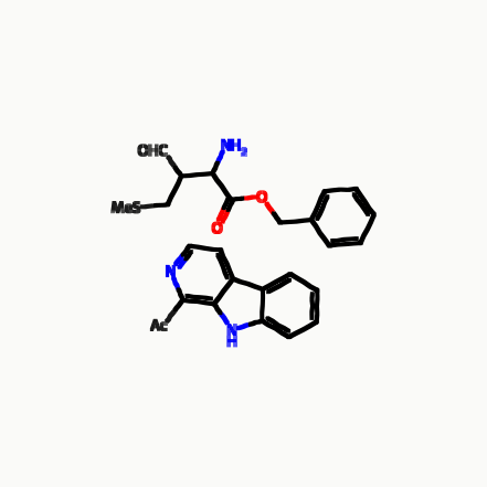 CC(=O)c1nccc2c1[nH]c1ccccc12.CSCC(C=O)C(N)C(=O)OCc1ccccc1